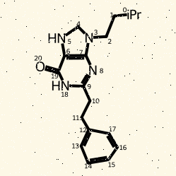 CC(C)CCN1CNc2c1nc(CCc1ccccc1)[nH]c2=O